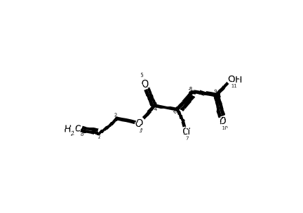 C=CCOC(=O)/C(Cl)=C/C(=O)O